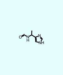 CC(N[C]=O)c1c[nH]cn1